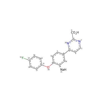 O=C(O)c1nccc(-c2ccc(Oc3ccc(F)cc3)cc2)n1.[NaH]